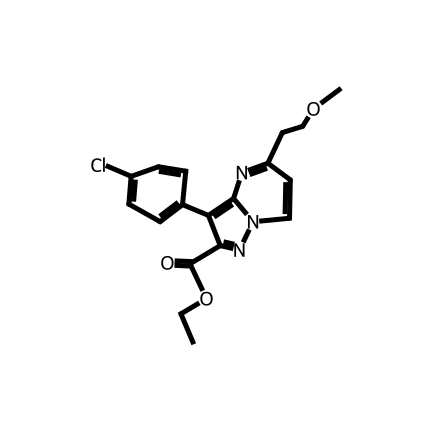 CCOC(=O)c1nn2ccc(CCOC)nc2c1-c1ccc(Cl)cc1